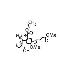 C=CCOC(=O)N(C)c1cc(OCCCC(=O)OC)c(OC)cc1C(=O)N1CCC[C@H]1CO